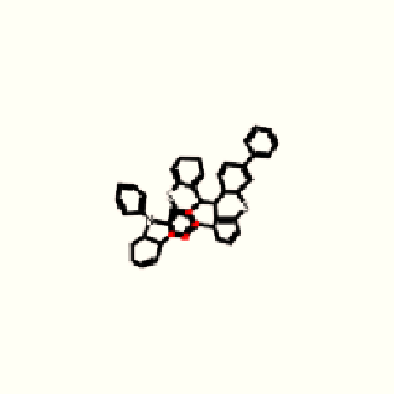 C1=CC2c3cc(C4CC=CC5=C4C(C4C6=CCCC=C6Sc6ccccc64)C4C=CC(c6ccccc6)=CC4S5)ccc3N(c3ccccc3)C2CC1